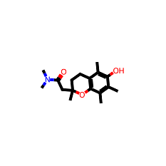 Cc1c(C)c2c(c(C)c1O)CCC(C)(CC(=O)N(C)C)O2